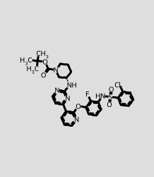 CC(C)(C)OC(=O)N1CCC[C@H](Nc2nccc(-c3cccnc3Oc3cccc(NS(=O)(=O)c4ccccc4Cl)c3F)n2)C1